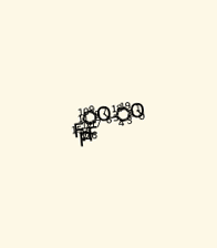 COc1ccc(COc2cccc(C(F)(F)F)c2)cc1